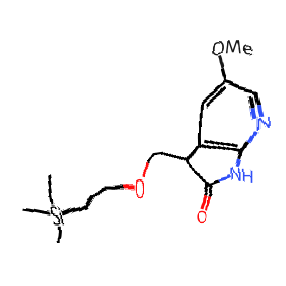 COc1cnc2c(c1)C(COCC[Si](C)(C)C)C(=O)N2